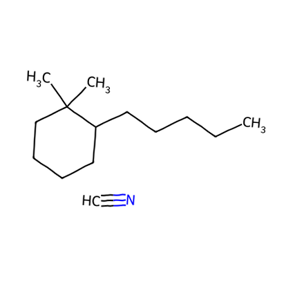 C#N.CCCCCC1CCCCC1(C)C